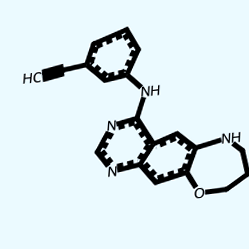 C#Cc1cccc(Nc2ncnc3cc4c(cc23)NCCCO4)c1